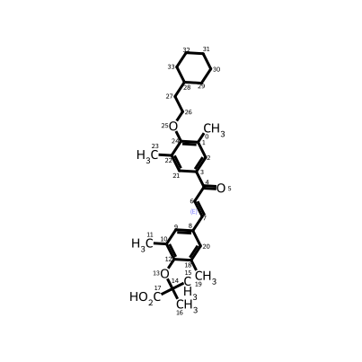 Cc1cc(C(=O)/C=C/c2cc(C)c(OC(C)(C)C(=O)O)c(C)c2)cc(C)c1OCCC1CCCCC1